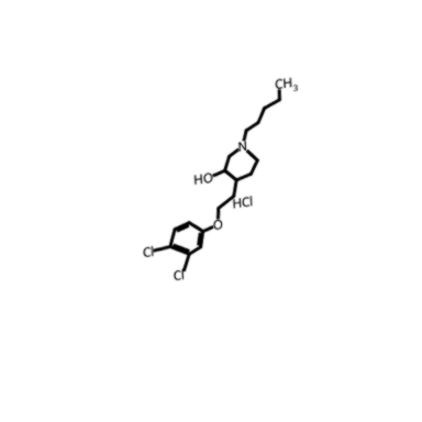 CCCCCN1CCC(CCOc2ccc(Cl)c(Cl)c2)C(O)C1.Cl